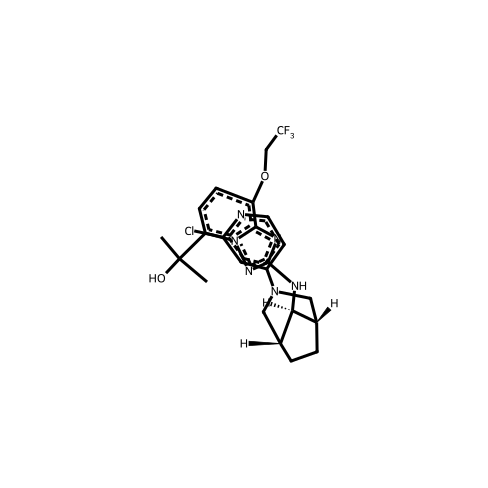 CC(C)(O)c1ccc(OCC(F)(F)F)c2nc(N[C@@H]3[C@@H]4CC[C@H]3CN(c3ccnc(Cl)c3)C4)nn12